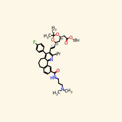 CC(C)c1nc2c(c(-c3ccc(F)cc3)c1/C=C/[C@@H]1C[C@H](CC(=O)OC(C)(C)C)OC(C)(C)O1)CCCc1ccc(C(=O)NCCCN(C)C)cc1-2